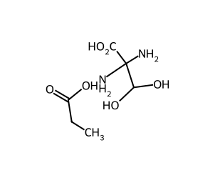 CCC(=O)O.NC(N)(C(=O)O)C(O)O